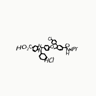 CC(C)NC(=O)c1ccc(COc2ccc(-c3nc4cc(C(=O)O)ccc4n3C3CCCCC3)cc2)c(-c2ccc(Cl)cc2)c1.Cl